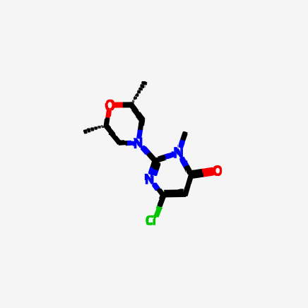 C[C@@H]1CN(c2nc(Cl)cc(=O)n2C)C[C@H](C)O1